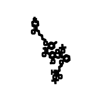 COc1cc(C(=O)N(C)c2ccc(C)cc2OCCCCCC(=O)N2CCN(C)CC2)ccc1CN(C(=O)OC(C)(C)C)c1ccccc1OCCCNC(=O)OC(C)(C)C